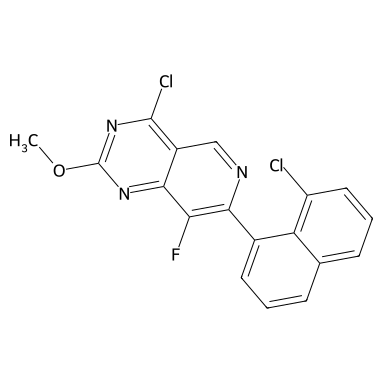 COc1nc(Cl)c2cnc(-c3cccc4cccc(Cl)c34)c(F)c2n1